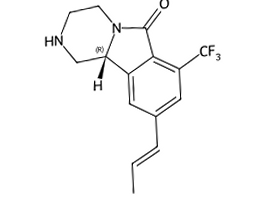 CC=Cc1cc2c(c(C(F)(F)F)c1)C(=O)N1CCNC[C@@H]21